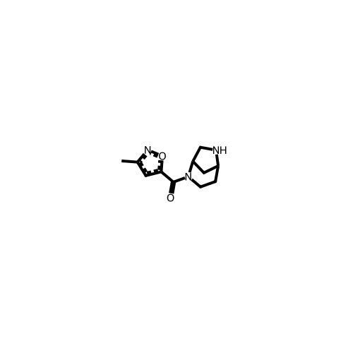 Cc1cc(C(=O)N2CCC3CC2CN3)on1